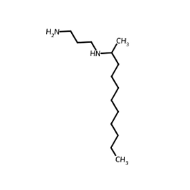 CCCCCCCCCC(C)NCCCN